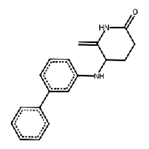 C=C1NC(=O)CCC1Nc1cccc(-c2ccccc2)c1